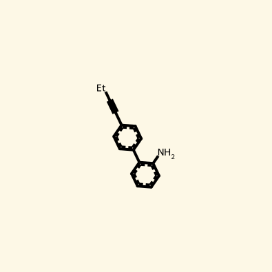 CCC#Cc1ccc(-c2ccccc2N)cc1